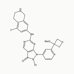 CCn1c(=O)c2cnc(Nc3cc(F)c4c(c3)CNCC4)nc2n1-c1ccnc(C2(OC)COC2)c1